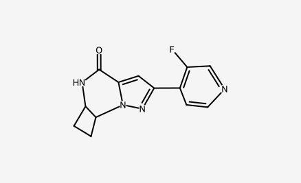 O=C1NC2CCC2n2nc(-c3ccncc3F)cc21